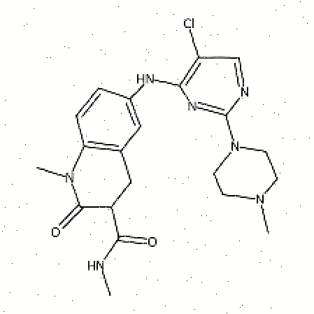 CNC(=O)C1Cc2cc(Nc3nc(N4CCN(C)CC4)ncc3Cl)ccc2N(C)C1=O